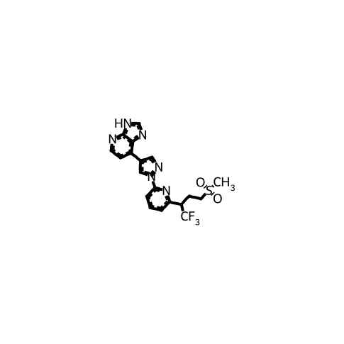 CS(=O)(=O)CCC(c1cccc(-n2cc(-c3ccnc4[nH]cnc34)cn2)n1)C(F)(F)F